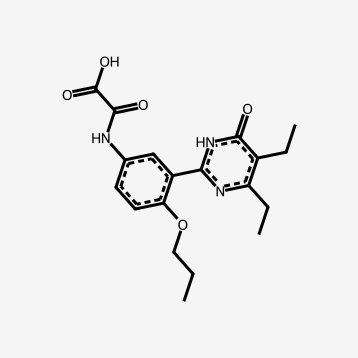 CCCOc1ccc(NC(=O)C(=O)O)cc1-c1nc(CC)c(CC)c(=O)[nH]1